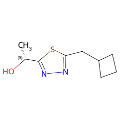 C[C@@H](O)c1nnc(CC2CCC2)s1